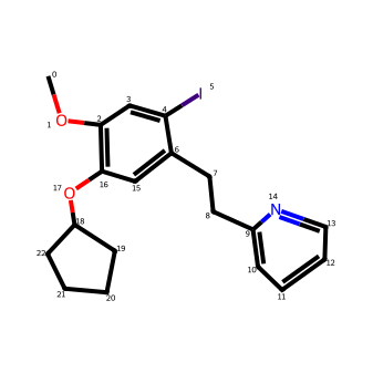 COc1cc(I)c(CCc2ccccn2)cc1OC1CCCC1